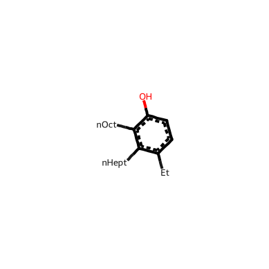 CCCCCCCCc1c(O)ccc(CC)c1CCCCCCC